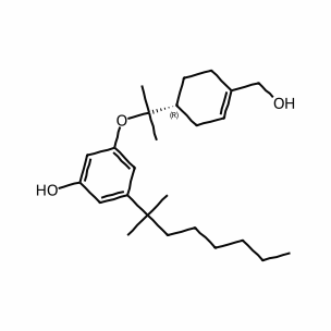 CCCCCCC(C)(C)c1cc(O)cc(OC(C)(C)[C@H]2CC=C(CO)CC2)c1